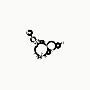 CO[C@@]1(CN2CCN(c3cccnc3)CC2)/C=C/C[C@H](C)[C@@H](C)S(=O)(=O)NC(=O)c2ccc3c(c2)N(CCCCc2cc(Cl)ccc2CO3)C[C@@H]2CC[C@H]21